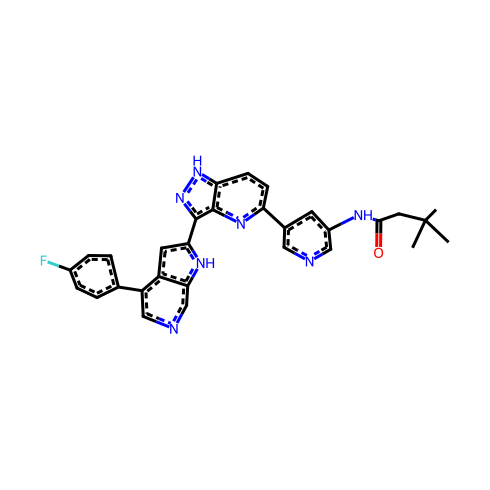 CC(C)(C)CC(=O)Nc1cncc(-c2ccc3[nH]nc(-c4cc5c(-c6ccc(F)cc6)cncc5[nH]4)c3n2)c1